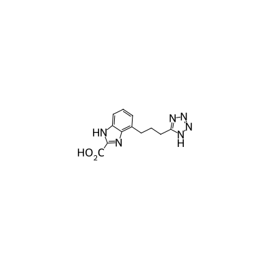 O=C(O)c1nc2c(CCCc3nnn[nH]3)cccc2[nH]1